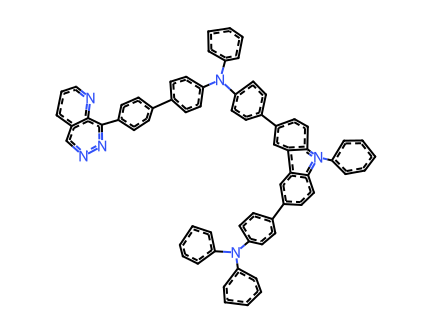 c1ccc(N(c2ccccc2)c2ccc(-c3ccc4c(c3)c3cc(-c5ccc(N(c6ccccc6)c6ccc(-c7ccc(-c8nncc9cccnc89)cc7)cc6)cc5)ccc3n4-c3ccccc3)cc2)cc1